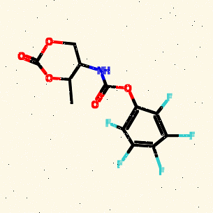 CC1OC(=O)OCC1NC(=O)Oc1c(F)c(F)c(F)c(F)c1F